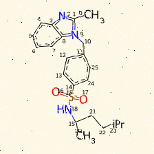 Cc1nc2ccccc2n1Cc1ccc(S(=O)(=O)NC(C)CCC(C)C)cc1